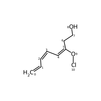 C=C/C=C\C=C(/CCO)OCl